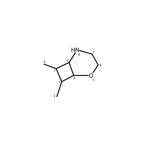 CC1C(C)C2OCCNC12